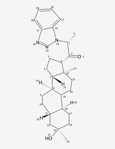 C[C@H](C(=O)[C@H]1CC[C@H]2[C@@H]3CC[C@H]4C[C@](C)(O)CC[C@@H]4C3CC[C@]12C)n1nnc2ccccc21